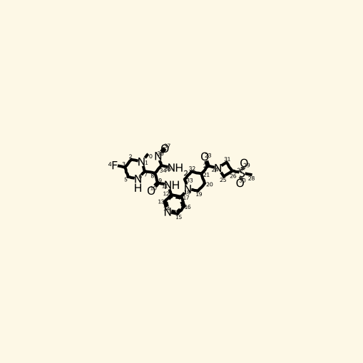 CN1CC(F)CNC1C(C(=O)Nc1cnccc1N1CCC(C(=O)N2CC(S(C)(=O)=O)C2)CC1)C(N)N=O